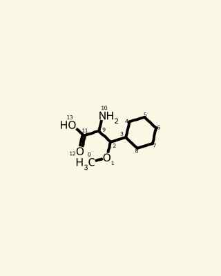 COC(C1CCCCC1)C(N)C(=O)O